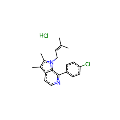 CC(C)=CCn1c(C)c(C)c2ccnc(-c3ccc(Cl)cc3)c21.Cl